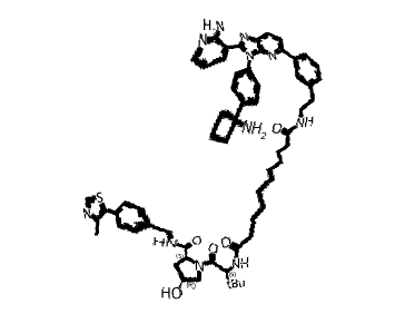 Cc1ncsc1-c1ccc(CNC(=O)[C@@H]2C[C@@H](O)CN2C(=O)[C@@H](NC(=O)CCCCCCCCCC(=O)NCCc2cccc(-c3ccc4nc(-c5cccnc5N)n(-c5ccc(C6(N)CCC6)cc5)c4n3)c2)C(C)(C)C)cc1